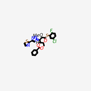 CO[C@H]1C(n2cc(-c3nccs3)nn2)[C@H]2OC(c3ccccc3)OCC2O[C@@H]1Sc1cc(Cl)ccc1F